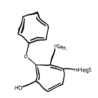 CCCCCCCCCCc1c(CCCCCCC)ccc(O)c1Oc1ccccc1